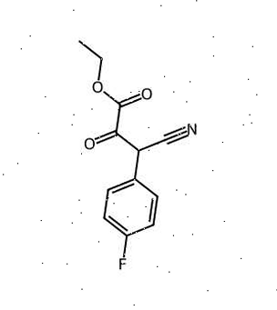 CCOC(=O)C(=O)C(C#N)c1ccc(F)cc1